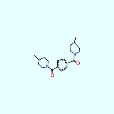 CC1CCN(C(=O)c2ccc(C(=O)N3CCC(C)CC3)cc2)CC1